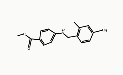 COC(=O)c1ccc(NCc2ccc(O)cc2C)cc1